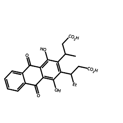 CCC(CC(=O)O)c1c(O)c2c(c(O)c1C(C)CC(=O)O)C(=O)c1ccccc1C2=O